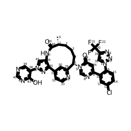 C[C@@H]1CCC[C@H](n2cnc(-c3cc(Cl)ccc3-n3cc(C(F)(F)F)nn3)cc2=O)c2cc(ccn2)-c2nn(-c3cncnc3O)cc2NC1=O